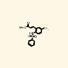 COC(=O)/C=C/c1cc(C(F)(F)F)ccc1NS(=O)(=O)c1ccccc1